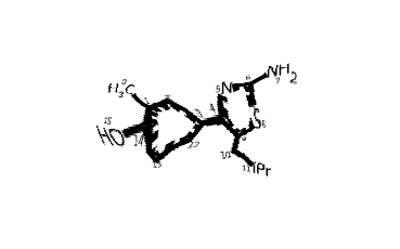 Cc1cc(-c2nc(N)sc2CC(C)C)ccc1O